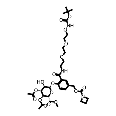 COC(=O)[C@H]1O[C@@H](Oc2ccc(COC(=O)N3CCC3)cc2C(=O)NCCOCCOCCONC(=O)OC(C)(C)C)[C@H](O)[C@@H](OC(C)=O)[C@@H]1OC(C)=O